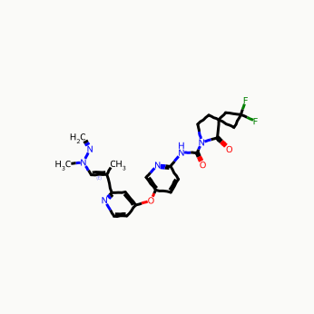 C=NN(C)/C=C(\C)c1cc(Oc2ccc(NC(=O)N3CCC4(CC(F)(F)C4)C3=O)nc2)ccn1